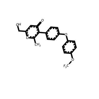 Cc1oc(CO)cc(=O)c1-c1ccc(Oc2ccc(OC(F)(F)F)cc2)cc1